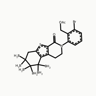 BC1(B)Cc2sc3c(c2C(B)(B)C1(B)B)CCN(c1cccc(Br)c1COC(C)=O)C3=O